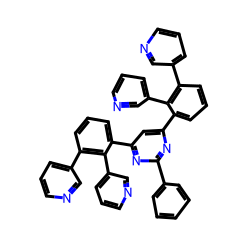 c1ccc(-c2nc(-c3cccc(-c4cccnc4)c3-c3cccnc3)cc(-c3cccc(-c4cccnc4)c3-c3cccnc3)n2)cc1